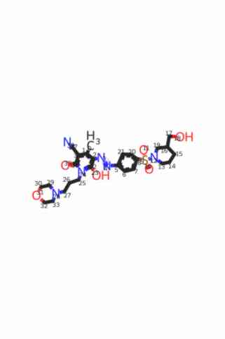 Cc1c(/N=N/c2ccc(S(=O)(=O)N3CCCC(CO)C3)cc2)c(O)n(CCCN2CCOCC2)c(=O)c1C#N